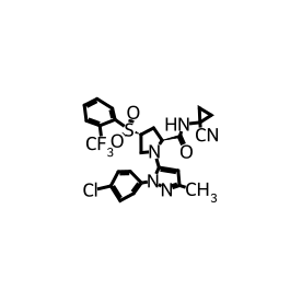 Cc1cc(N2C[C@H](S(=O)(=O)c3ccccc3C(F)(F)F)C[C@H]2C(=O)NC2(C#N)CC2)n(-c2ccc(Cl)cc2)n1